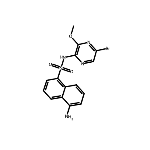 COc1nc(Br)cnc1NS(=O)(=O)c1cccc2c(N)cccc12